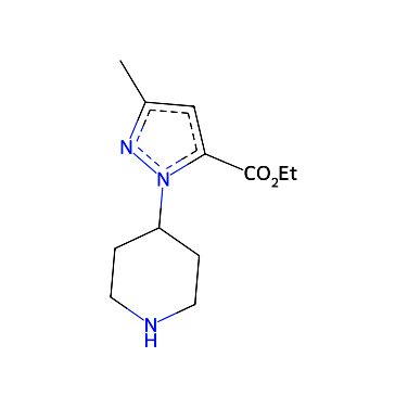 CCOC(=O)c1cc(C)nn1C1CCNCC1